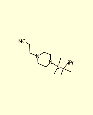 CC(C)C(C)(C)[Si](C)(C)N1CCN(CCC#N)CC1